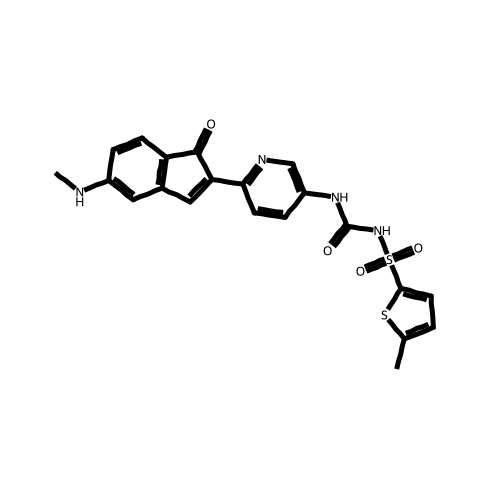 CNc1ccc2c(c1)C=C(c1ccc(NC(=O)NS(=O)(=O)c3ccc(C)s3)cn1)C2=O